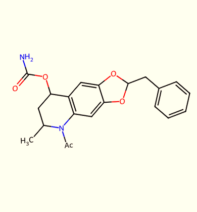 CC(=O)N1c2cc3c(cc2C(OC(N)=O)CC1C)OC(Cc1ccccc1)O3